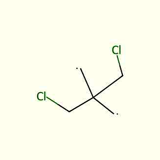 [CH2]C([CH2])(CCl)CCl